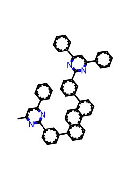 Cc1cc(-c2ccccc2)nc(-c2cccc(-c3cccc4c3ccc3c(-c5cccc(-c6nc(-c7ccccc7)cc(-c7ccccc7)n6)c5)cccc34)c2)n1